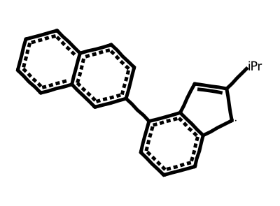 CC(C)C1=Cc2c(cccc2-c2ccc3ccccc3c2)[CH]1